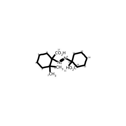 CC1(C)CCCCC1(N=NC1(C(=O)O)CCCCC1)C(=O)O